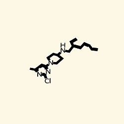 C=C/C=C\C=C(/C=C)CNC1CCN(c2cc(C)nc(Cl)n2)CC1